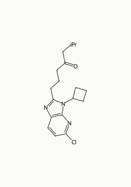 CC(C)CC(=O)CCCc1nc2ccc(Cl)nc2n1C1CCC1